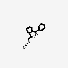 O=C=NCC(=O)c1ccccc1C(=O)c1ccccc1